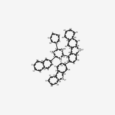 c1ccc(-c2nc(-c3ccc4ccccc4c3)nc(-c3c(-c4ccc5c(c4)sc4ccccc45)ccc4oc5cc6ccccc6cc5c34)n2)cc1